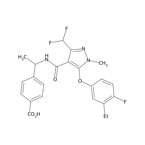 CCc1cc(Oc2c(C(=O)NC(C)c3ccc(C(=O)O)cc3)c(C(F)F)nn2C)ccc1F